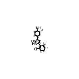 Nc1ccc(C2C=C(c3c(Cl)cccc3Cl)NN2)cc1